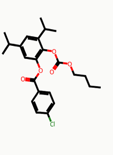 CCCCOC(=O)Oc1c(OC(=O)c2ccc(Cl)cc2)cc(C(C)C)cc1C(C)C